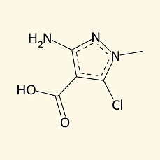 Cn1nc(N)c(C(=O)O)c1Cl